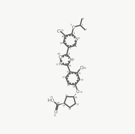 CC(C)Oc1ncc(-c2nc(-c3ccc(O[C@@H]4CC[C@@H](C(=O)O)C4)cc3Cl)no2)cc1Cl